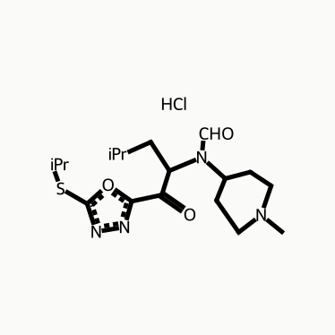 CC(C)CC(C(=O)c1nnc(SC(C)C)o1)N(C=O)C1CCN(C)CC1.Cl